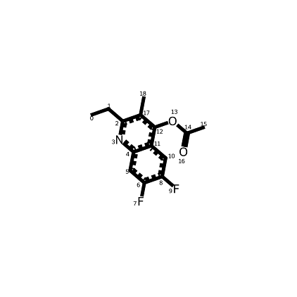 CCc1nc2cc(F)c(F)cc2c(OC(C)=O)c1C